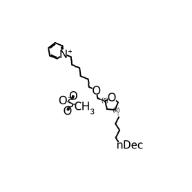 CCCCCCCCCCCCCC[C@H]1CO[C@H](COCCCCCC[n+]2ccccc2)C1.CS(=O)(=O)[O-]